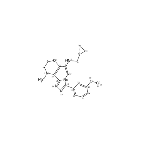 CN1CCOc2c(NCC3CC3)nn3c(-c4cccc(OC(F)(F)F)c4)nnc3c21